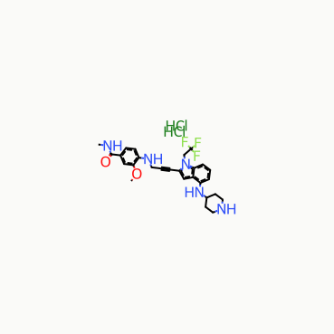 CNC(=O)c1ccc(NCC#Cc2cc3c(NC4CCNCC4)cccc3n2CC(F)(F)F)c(OC)c1.Cl.Cl